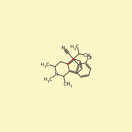 CC(CCC(C#N)(c1ccccc1Cl)C(C)C)N(C)C(C)c1ccccc1